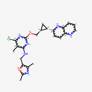 Cc1nc(C)c(CNc2nc(OC[C@H]3C[C@@H]3c3ccc4ncccc4n3)nc(Cl)c2C)o1